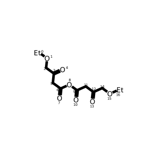 CCOCC(=O)CC(=O)OC(=O)CC(=O)COCC